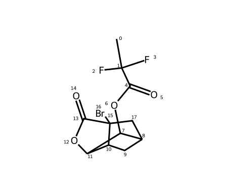 CC(F)(F)C(=O)OC1C2CC3C1OC(=O)C3(Br)C2